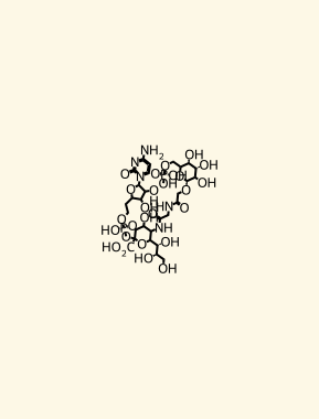 Nc1ccn(C2OC(CCOP(=O)(O)OC3(C(=O)O)CC(O)C(NC(=O)CNC(=O)CO[C@H]4OC(COP(=O)(O)O)[C@@H](O)[C@H](O)C4O)C([C@H](O)[C@H](O)CO)O3)C(O)C2O)c(=O)n1